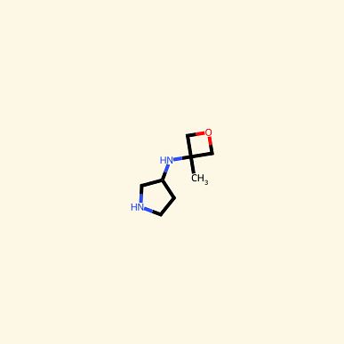 CC1(NC2CCNC2)COC1